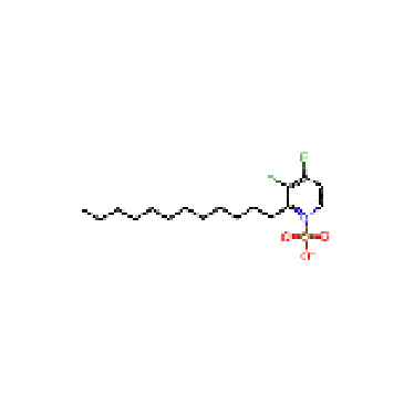 CCCCCCCCCCCCc1c(F)c(F)cc[n+]1S(=O)(=O)[O-]